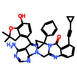 CC1(C)Cc2c(-c3nn(Cc4nc5cccc(C#CC6CC6)c5c(=O)n4C4(c5ccccc5)CC4)c4ncnc(N)c34)ccc(O)c2O1